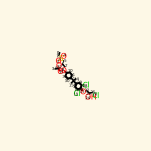 CCS(=O)(=O)C[C@@H](COc1ccc(C(C)(C)c2cc(Cl)c(OC[C@H](O)CCl)c(Cl)c2)cc1)OC(C)=O